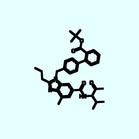 CCCc1nc2c(C)cc(C(=O)NC(C(C)=O)C(C)C)cc2n1Cc1ccc(-c2ccccc2C(=O)OC(C)(C)C)cc1